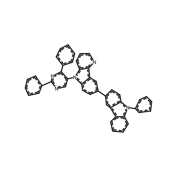 c1ccc(-c2ncc(-n3c4ccc(-c5ccc6c(c5)c5ccccc5n6-c5ccccc5)cc4c4ncccc43)c(-c3ccccc3)n2)cc1